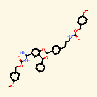 COc1ccc(COC(=O)NC/C=C/c2ccc(COc3ccc(C(=N)NC(=O)OCc4ccc(OC)cc4)cc3C(=O)c3ccccc3)cc2)cc1